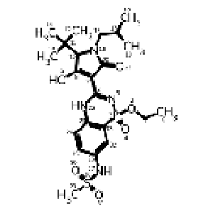 CCOP1(=O)N=C(C2=C(O)C(C(C)(C)C)N(CC(C)C)C2=O)Nc2ccc(NS(C)(=O)=O)cc21